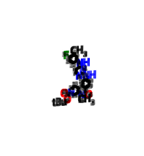 Cc1cc(Nc2ccnc(Nc3ccc(C(=O)N(C)C4CCCN(C(=O)OC(C)(C)C)C4)cc3)n2)ccc1F